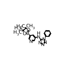 CC1(C)OB(c2cncc(Nc3nnnn3-c3ccccc3)c2)OC1(C)C